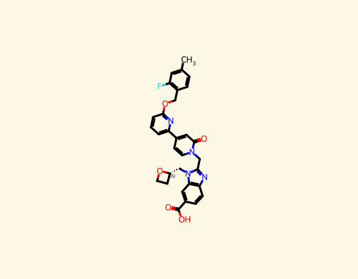 Cc1ccc(COc2cccc(-c3ccn(Cc4nc5ccc(C(=O)O)cc5n4C[C@@H]4CCO4)c(=O)c3)n2)c(F)c1